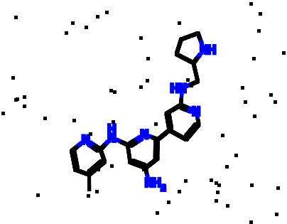 Cc1ccnc(Nc2cc(N)cc(-c3ccnc(NCC4CCCN4)c3)n2)c1